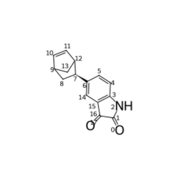 O=C1Nc2ccc([C@H]3CC4C=CC3C4)cc2C1=O